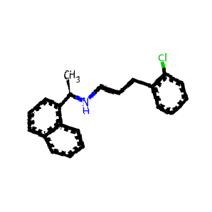 C[C@@H](NCCCc1ccccc1Cl)c1cccc2ccccc12